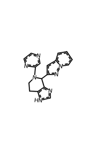 c1ccn2nc(C3c4nc[nH]c4CCN3c3cnccn3)cc2c1